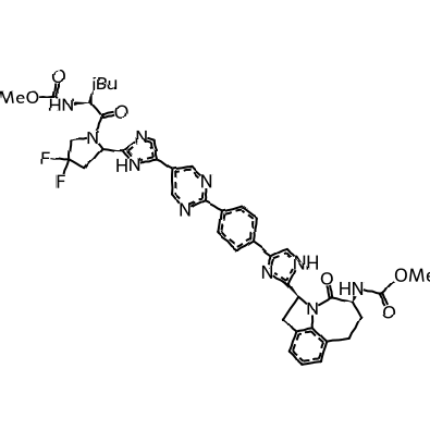 CC[C@H](C)[C@H](NC(=O)OC)C(=O)N1CC(F)(F)CC1c1ncc(-c2cnc(-c3ccc(-c4c[nH]c([C@@H]5Cc6cccc7c6N5C(=O)[C@@H](NC(=O)OC)CC7)n4)cc3)nc2)[nH]1